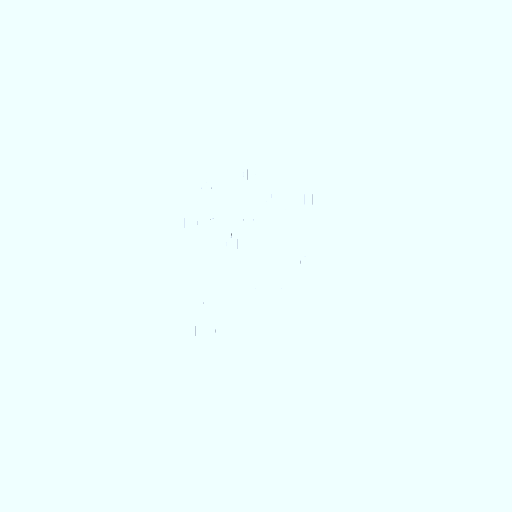 CCC(CC)COC(=O)C[C@@H](C)CC[C@@H](C)O[C@@H]1O[C@@H](C)[C@@H](O)[C@@H](O)[C@@H]1O